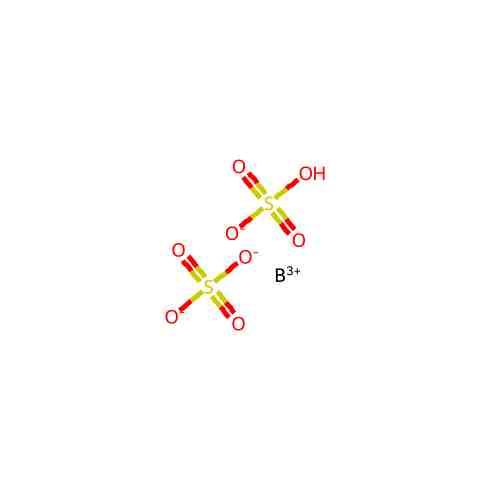 O=S(=O)([O-])O.O=S(=O)([O-])[O-].[B+3]